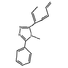 C=C/C=C\C(=C/C)c1nnc(-c2ccccc2)n1C